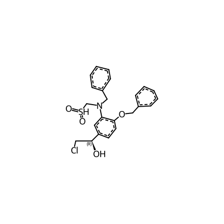 O=[SH](=O)CN(Cc1ccccc1)c1cc([C@@H](O)CCl)ccc1OCc1ccccc1